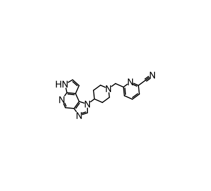 N#Cc1cccc(CN2CCC(n3cnc4cnc5[nH]ccc5c43)CC2)n1